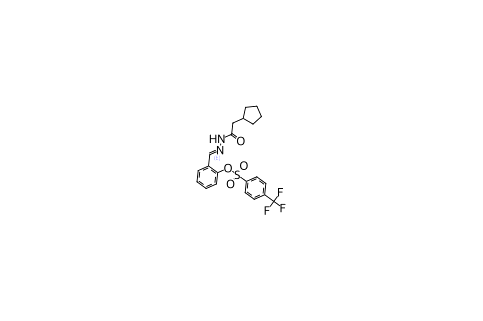 O=C(CC1CCCC1)N/N=C/c1ccccc1OS(=O)(=O)c1ccc(C(F)(F)F)cc1